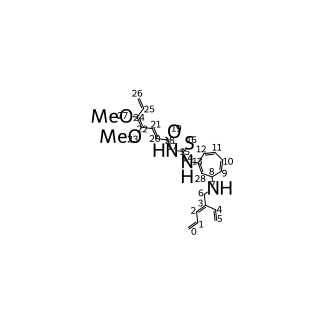 C=C/C=C(\C=C)CNC1C=CC=CC(NC(=S)NC(=O)/C=C/C(OC)=C(\C=C)OC)=C1